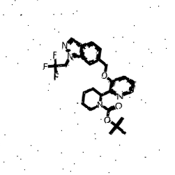 CC(C)(C)OC(=O)N1CCCCC1c1ncccc1OCc1ccc2cnn(CC(F)(F)F)c2c1